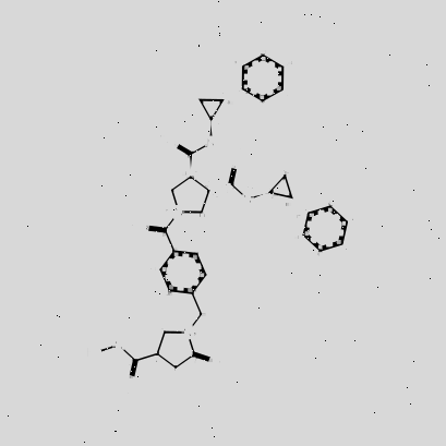 CCNC(=O)C1CC(=O)N(Cc2ccc(C(=O)N3C[C@@H](C(=O)N[C@H]4C[C@@H]4c4ccccc4)[C@H](C(=O)N[C@H]4C[C@@H]4c4ccccc4)C3)cc2)C1